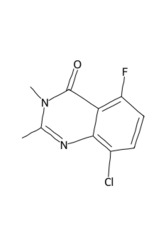 Cc1nc2c(Cl)ccc(F)c2c(=O)n1C